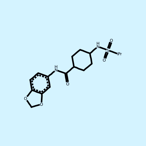 CC(C)S(=O)(=O)NC1CCC(C(=O)Nc2ccc3c(c2)OCO3)CC1